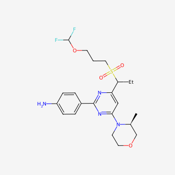 CCC(c1cc(N2CCOC[C@@H]2C)nc(-c2ccc(N)cc2)n1)S(=O)(=O)CCCOC(F)F